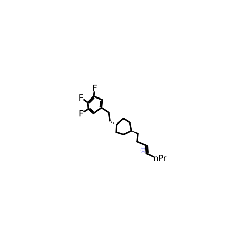 CCC/C=C/CC[C@H]1CC[C@H](CCc2cc(F)c(F)c(F)c2)CC1